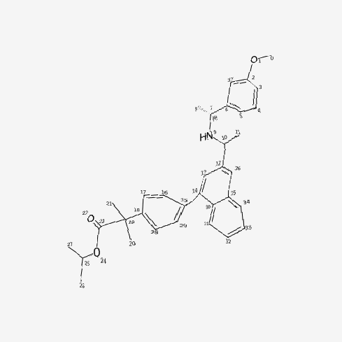 COc1cccc([C@@H](C)NC(C)c2cc(-c3ccc(C(C)(C)C(=O)OC(C)C)cc3)c3ccccc3c2)c1